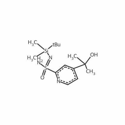 CC(C)(O)c1ccnc(S(N)(=O)=N[Si](C)(C)C(C)(C)C)c1